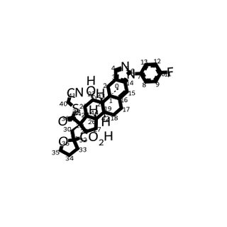 C[C@]12Cc3cnn(-c4ccc(F)cc4)c3C=C1CC[C@@H]1[C@@H]2[C@@H](O)C[C@@]2(C)[C@H]1CC[C@]2(CC1(C(=O)O)CCCO1)C(=O)SCC#N